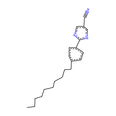 CCCCCCCCCCc1ccc(-c2ncc(C#N)cn2)cc1